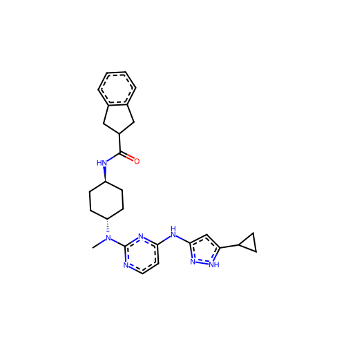 CN(c1nccc(Nc2cc(C3CC3)[nH]n2)n1)[C@H]1CC[C@H](NC(=O)C2Cc3ccccc3C2)CC1